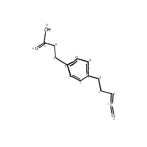 O=C=CC[CH]c1ccc(CCC(=O)O)cc1